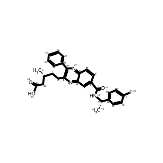 C[C@H](CCc1nc2cc(C(=O)N[C@@H](C)c3ccc(F)cc3)ccc2nc1-c1ccccc1)CC(=O)O